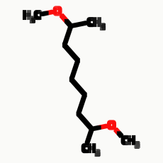 COC(C)CCCCCC(C)OC